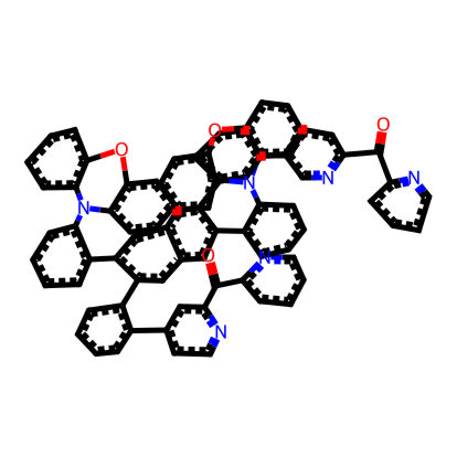 O=C(c1ccccn1)c1ccc(-c2cccc(-c3cc4cc(-c5ccccc5N5c6ccccc6Oc6ccccc65)c(-c5ccccc5-c5ccnc(C(=O)c6ccccn6)c5)cc4cc3-c3ccccc3N3c4ccccc4Oc4ccccc43)c2)cn1